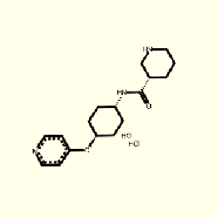 Cl.Cl.O=C(N[C@H]1CC[C@H](Oc2ccncc2)CC1)[C@H]1CCCNC1